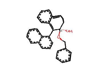 O[C@@]1(OCc2ccccc2)CC=c2ccccc2=C1c1cccc2ccccc12